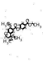 CCOC(=O)c1ccc(OC(=O)c2cc3c(cc2SC)OCCC3(SC)SC)cc1